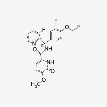 COc1ccc(C(=O)N[C@@H](c2ccc(OCF)c(F)c2)c2ncccc2F)[nH]c1=O